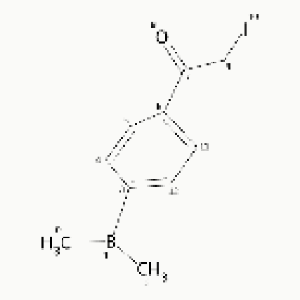 CB(C)c1ccc(C(=O)CI)cc1